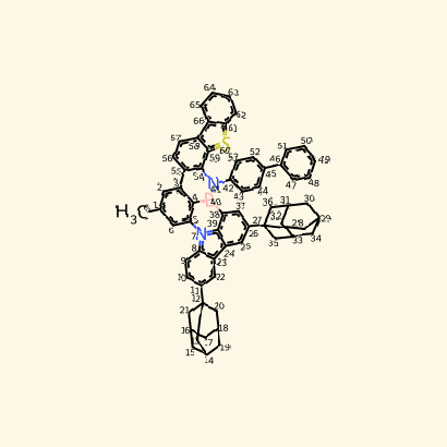 Cc1cc2c3c(c1)-n1c4ccc(C56CC7CC(CC(C7)C5)C6)cc4c4cc(C56CC7CC(CC(C7)C5)C6)cc(c41)B3N(c1ccc(-c3ccccc3)cc1)c1c-2ccc2c1sc1ccccc12